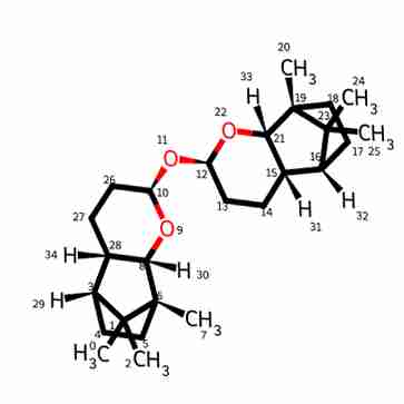 CC1(C)[C@@H]2CC[C@@]1(C)[C@H]1O[C@H](O[C@@H]3CC[C@H]4[C@H]5CC[C@@](C)([C@H]4O3)C5(C)C)CC[C@@H]21